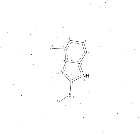 [CH2]c1cccc2[nH]c(SC)nc12